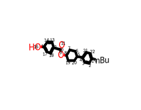 CCCCc1ccc(C2CCC(OC(=O)c3ccc(O)cc3)CC2)cc1